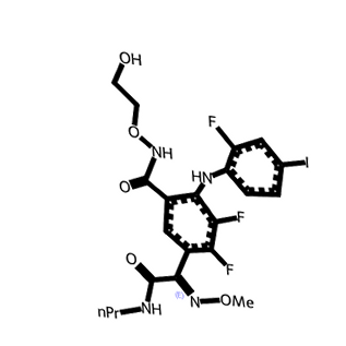 CCCNC(=O)/C(=N/OC)c1cc(C(=O)NOCCO)c(Nc2ccc(I)cc2F)c(F)c1F